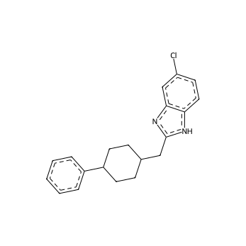 Clc1ccc2[nH]c(CC3CCC(c4ccccc4)CC3)nc2c1